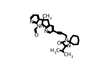 CC(C)C1=NC2(CCCCCC2)N(CC#Cc2cnc3c(c2)C[C@@](C)(c2cccnc2NC=O)C3)C1=O